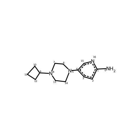 Nc1ccc(N2CCN(C3CCC3)CC2)cn1